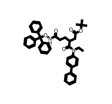 CCN(C(=O)C(CCC(=O)NOC(c1ccccc1)(c1ccccc1)c1ccccc1)CC(=O)OC(C)(C)C)c1ccc(-c2ccccc2)cc1